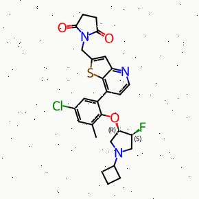 Cc1cc(Cl)cc(-c2ccnc3cc(CN4C(=O)CCC4=O)sc23)c1O[C@@H]1CN(C2CCC2)C[C@@H]1F